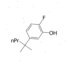 CCCC(C)(C)c1ccc(F)c(O)c1